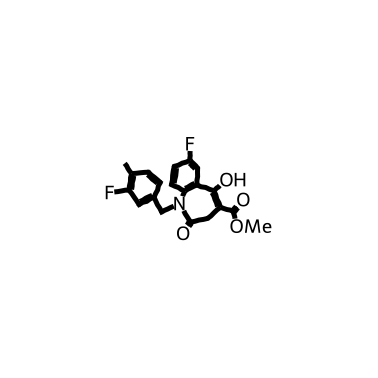 COC(=O)C1=C(O)c2cc(F)ccc2N(Cc2ccc(C)c(F)c2)C(=O)C1